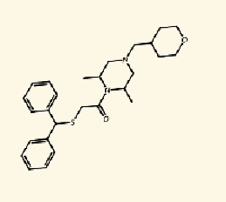 CC1CN(CC2CCOCC2)CC(C)N1C(=O)CSC(c1ccccc1)c1ccccc1